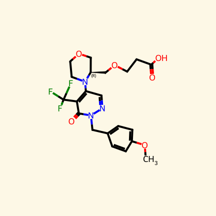 COc1ccc(Cn2ncc(N3CCOC[C@H]3COCCC(=O)O)c(C(F)(F)F)c2=O)cc1